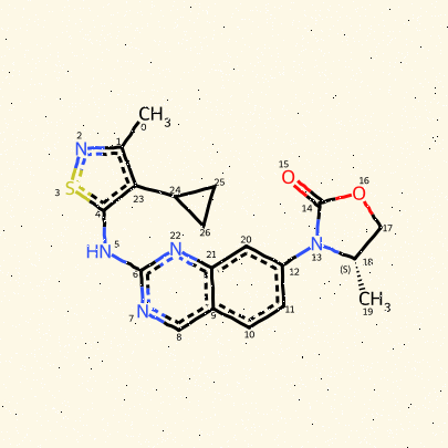 Cc1nsc(Nc2ncc3ccc(N4C(=O)OC[C@@H]4C)cc3n2)c1C1CC1